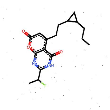 CCCC1CC1CCc1cc(=O)oc2nc(C(C)F)[nH]c(=O)c12